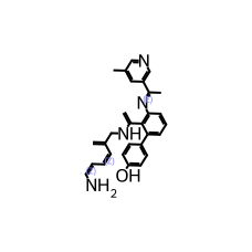 C=C(/C=C\C=C/N)CNC(=C)c1c(/N=C(\C)c2cncc(C)c2)cccc1-c1ccc(O)cc1